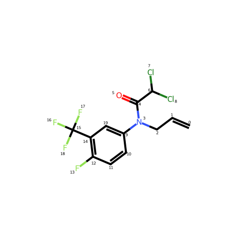 C=CCN(C(=O)C(Cl)Cl)c1ccc(F)c(C(F)(F)F)c1